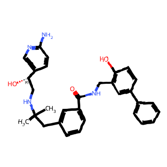 CC(C)(Cc1cccc(C(=O)NCc2cc(-c3ccccc3)ccc2O)c1)NC[C@H](O)c1ccc(N)nc1